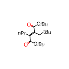 CCCC(C(=O)OCC(C)C)=C(CC(C)(C)C)C(=O)OCC(C)C